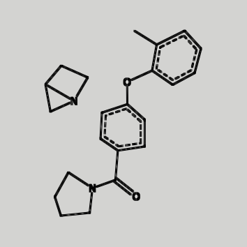 C1CN2CC12.Cc1ccccc1Oc1ccc(C(=O)N2CCCC2)cc1